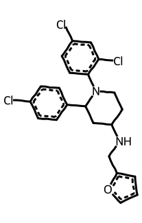 Clc1ccc(C2CC(NCc3ccco3)CCN2c2ccc(Cl)cc2Cl)cc1